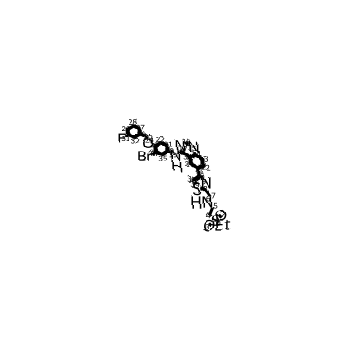 CCS(=O)(=O)CCNCc1nc(-c2ccc3ncnc(Nc4ccc(OCc5cccc(F)c5)c(Br)c4)c3c2)cs1